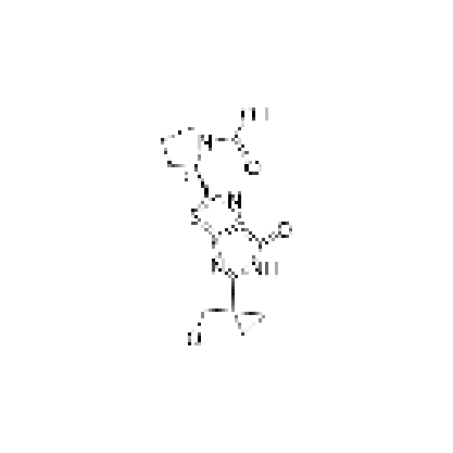 COCC1(c2nc3sc([C@H]4CCCN4C(=O)O)nc3c(=O)[nH]2)CC1